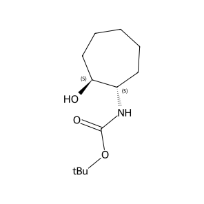 CC(C)(C)OC(=O)N[C@H]1CCCCC[C@@H]1O